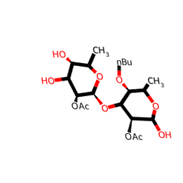 CCCCO[C@H]1C(C)OC(O)[C@@H](OC(C)=O)C1O[C@@H]1OC(C)[C@H](O)C(O)[C@@H]1OC(C)=O